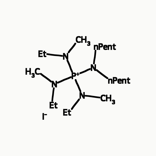 CCCCCN(CCCCC)[P+](N(C)CC)(N(C)CC)N(C)CC.[I-]